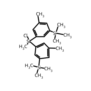 Cc1cc([Si](C)(C)C)cc([Si](C)(Cl)c2cc(C)cc([Si](C)(C)C)c2)c1